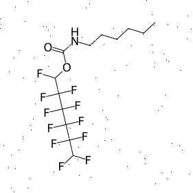 CCCCCCNC(=O)OC(F)C(F)(F)C(F)(F)C(F)(F)C(F)(F)C(F)F